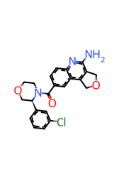 Nc1nc2ccc(C(=O)N3CCOC[C@@H]3c3cccc(Cl)c3)cc2c2c1COC2